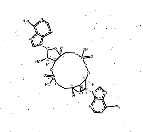 Nc1ncnc2c1ncn2[C@@H]1O[C@@H]2COP(=O)(O)CO[C@@H]3[C@H](O)[C@@H](COP(=O)(O)O[C@H]2[C@H]1O)O[C@H]3n1cnc2c(N)ncnc21